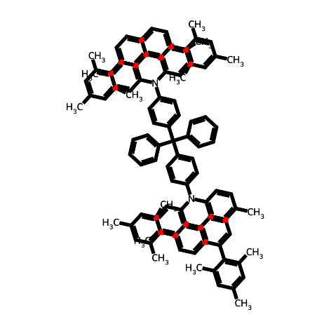 Cc1cc(C)c(-c2cccc(-c3cc(C)ccc3N(c3ccc(C(c4ccccc4)(c4ccccc4)c4ccc(N(c5ccc(C)cc5-c5cccc(-c6c(C)cc(C)cc6C)c5)c5ccc(C)cc5-c5cccc(-c6c(C)cc(C)cc6C)c5)cc4)cc3)c3ccc(C)cc3-c3cccc(-c4c(C)cc(C)cc4C)c3)c2)c(C)c1